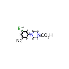 N#Cc1cc(Br)cc(N2CCN(C(=O)O)CC2)c1